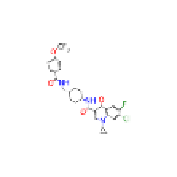 O=C(NC[C@H]1CC[C@H](NC(=O)c2cn(C3CC3)c3cc(Cl)c(F)cc3c2=O)CC1)c1ccc(OC(F)(F)F)cc1